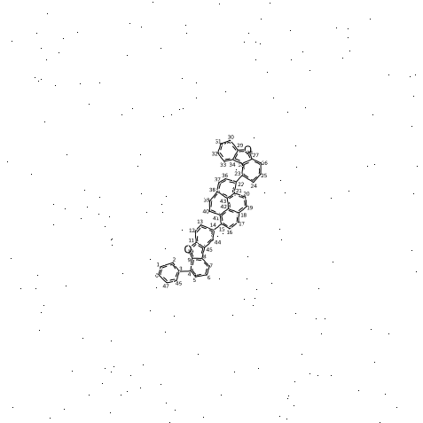 c1ccc(-c2cccc3c2oc2ccc(-c4ccc5ccc6c(-c7cccc8oc9ccccc9c78)ccc7ccc4c5c76)cc23)cc1